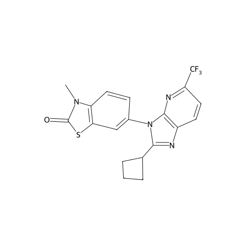 Cn1c(=O)sc2cc(-n3c(C4CCC4)nc4ccc(C(F)(F)F)nc43)ccc21